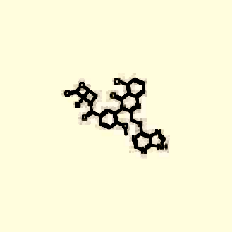 COc1ccc(C(=O)N2CC3OC(=O)[C@H]32)cc1-n1c(CSc2ncnc3[nH]cnc23)nc2cccc(Cl)c2c1=O